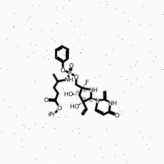 C=C[C@]1(O)[C@H](N2C=CC(=O)NC2=C)N[C@](F)(COP(=O)(NC(C)CCC(=O)OC(C)C)Oc2ccccc2)[C@H]1O